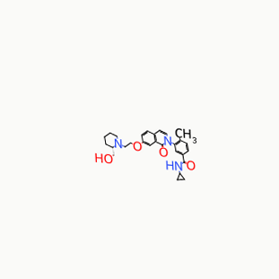 Cc1ccc(C(=O)NC2CC2)cc1-n1ccc2ccc(OCCN3CCCC[C@H]3CO)cc2c1=O